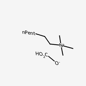 CCCCCCC[N+](C)(C)C.O=C([O-])O